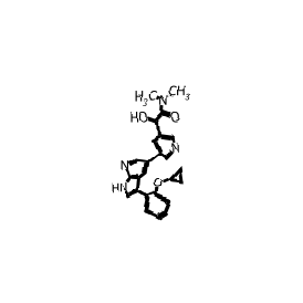 CN(C)C(=O)C(O)c1cncc(-c2cnc3[nH]cc(-c4ccccc4OC4CC4)c3c2)c1